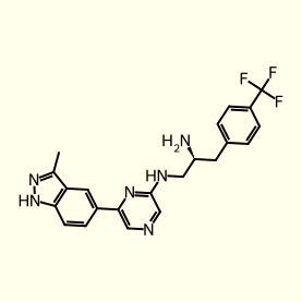 Cc1n[nH]c2ccc(-c3cncc(NC[C@@H](N)Cc4ccc(C(F)(F)F)cc4)n3)cc12